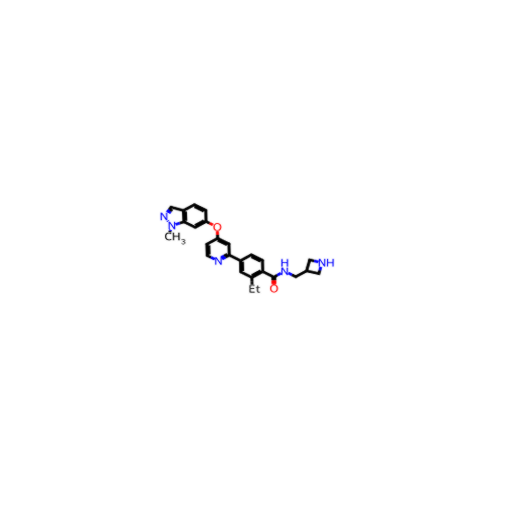 CCc1cc(-c2cc(Oc3ccc4cnn(C)c4c3)ccn2)ccc1C(=O)NCC1CNC1